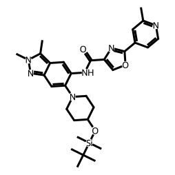 Cc1cc(-c2nc(C(=O)Nc3cc4c(C)n(C)nc4cc3N3CCC(O[Si](C)(C)C(C)(C)C)CC3)co2)ccn1